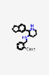 COc1ccccc1CNC1CCCNC1c1ccc2c(c1)CCC2